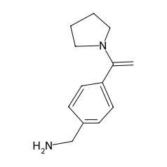 C=C(c1ccc(CN)cc1)N1CCCC1